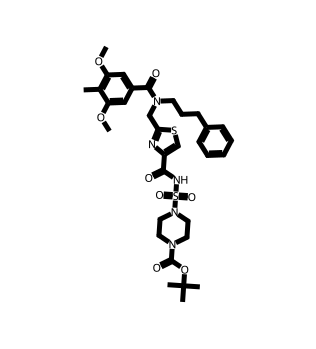 COc1cc(C(=O)N(CCCc2ccccc2)Cc2nc(C(=O)NS(=O)(=O)N3CCN(C(=O)OC(C)(C)C)CC3)cs2)cc(OC)c1C